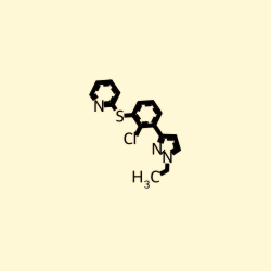 CCn1ccc(-c2cccc(Sc3ccccn3)c2Cl)n1